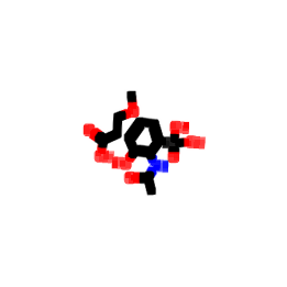 CC(=O)Nc1c(O)cccc1[As](=O)(O)O.COCCC(=O)O